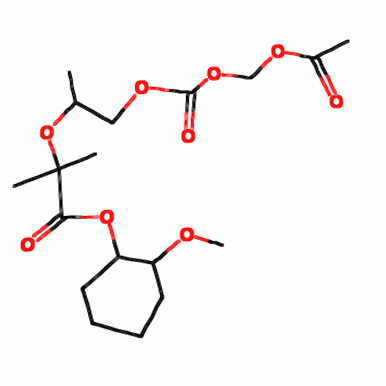 COC1CCCCC1OC(=O)C(C)(C)OC(C)COC(=O)OCOC(C)=O